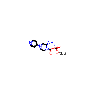 CC(C)(C)OC(=O)OC(=O)N1CCN(c2ccncc2)CC1N